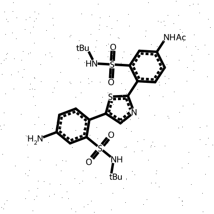 CC(=O)Nc1ccc(-c2ncc(-c3ccc(N)cc3S(=O)(=O)NC(C)(C)C)s2)c(S(=O)(=O)NC(C)(C)C)c1